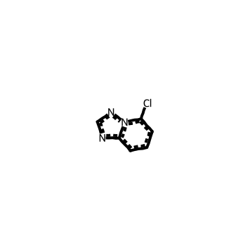 Clc1cccc2ncnn12